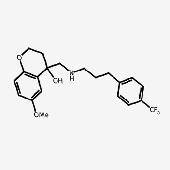 COc1ccc2c(c1)C(O)(CNCCCc1ccc(C(F)(F)F)cc1)CCO2